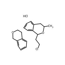 CC1Cc2ccccc2C(CCCl)O1.Cl.c1ccc2c(c1)CCOC2